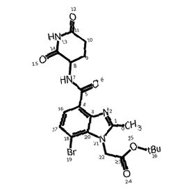 Cc1nc2c(C(=O)NC3CCC(=O)NC3=O)ccc(Br)c2n1CC(=O)OC(C)(C)C